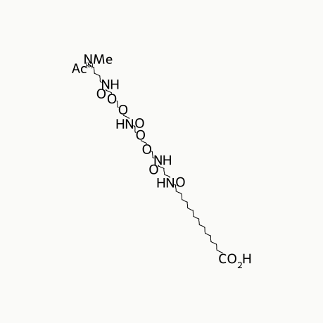 CN[C@@H](CCCCNC(=O)COCCOCCNC(=O)COCCOCCNC(=O)CCCNC(=O)CCCCCCCCCCCCCCCCC(=O)O)C(C)=O